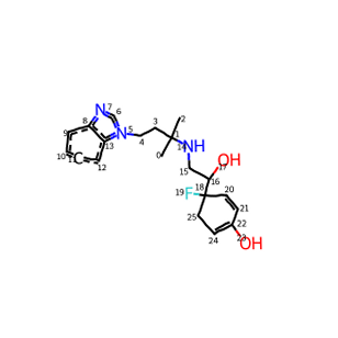 CC(C)(CCn1cnc2ccccc21)NCC(O)C1(F)C=CC(O)=CC1